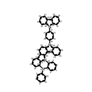 c1ccc(N2c3ccccc3-n3c4c2cccc4c2ccc4c(c5ccccc5n4-c4ccc(-n5c6ccccc6c6ccccc65)cc4)c23)cc1